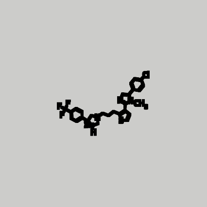 Cn1c(-c2ccc(Cl)cc2)cnc1-c1ccsc1CCCN1C[C@@H]2C[C@]2(c2ccc(C(F)(F)F)cc2)C1